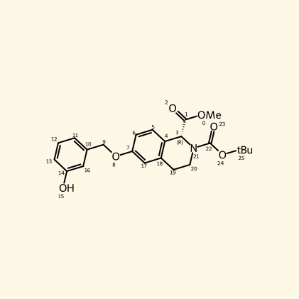 COC(=O)[C@H]1c2ccc(OCc3cccc(O)c3)cc2CCN1C(=O)OC(C)(C)C